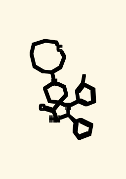 Cc1cccc(N2[C@@H](c3ccccc3)NC(=O)C23CCN(C2CCCCCCCCC2)CC3)c1